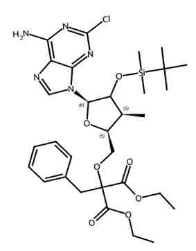 CCOC(=O)C(Cc1ccccc1)(OC[C@H]1O[C@@H](n2cnc3c(N)nc(Cl)nc32)C(O[Si](C)(C)C(C)(C)C)[C@H]1C)C(=O)OCC